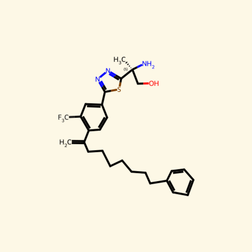 C=C(CCCCCCCc1ccccc1)c1ccc(-c2nnc([C@@](C)(N)CO)s2)cc1C(F)(F)F